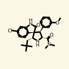 COc1cccc([C@H]2[C@H](C(=O)N(C)C)N[C@H](CC(C)(C)C)[C@]23C(=O)Nc2cc(Cl)ccc23)c1